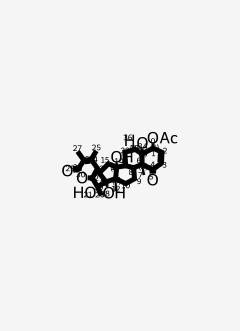 CC(=O)O[C@H]1C=CC(=O)[C@]2(C)C3CC[C@@]4(C)[C@@](O)(CC[C@@]4(O)C(C)(O)C4CC(C)=C(C)C(=O)O4)C3C[C@H]3O[C@]132